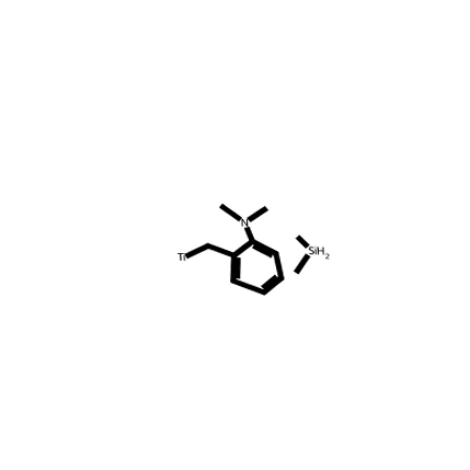 CN(C)c1ccccc1[CH2][Ti].C[SiH2]C